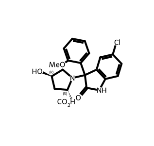 COc1ccccc1C1(N2C[C@H](O)C[C@H]2C(=O)O)C(=O)Nc2ccc(Cl)cc21